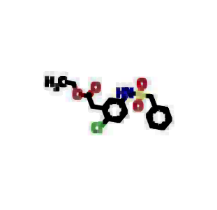 CCOC(=O)Cc1cc(NS(=O)(=O)Cc2ccccc2)ccc1Cl